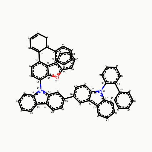 C1=CCC(c2ccccc2)C(c2ccc(-n3c4ccccc4c4ccc(-c5ccc6c(c5)c5ccccc5n6-c5ccccc5-c5ccccc5)cc43)c3oc4ccccc4c23)=C1